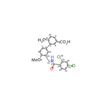 COc1ccc(-c2cc(C(=O)O)ccc2C)cc1CNC(=O)c1ccc(Cl)cc1Cl